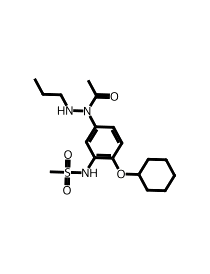 CCCNN(C(C)=O)c1ccc(OC2CCCCC2)c(NS(C)(=O)=O)c1